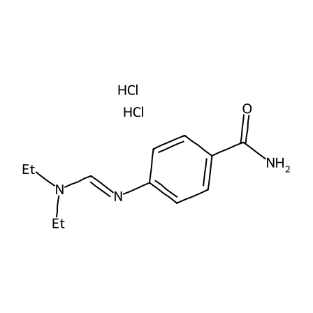 CCN(C=Nc1ccc(C(N)=O)cc1)CC.Cl.Cl